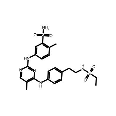 CCS(=O)(=O)NCCc1ccc(Nc2nc(Nc3ccc(C)c(S(N)(=O)=O)c3)ncc2C)cc1